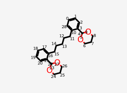 c1ccc(C2OCCCO2)c(CCCCCc2ccccc2C2OCCCO2)c1